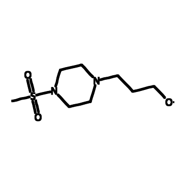 CS(=O)(=O)N1CCN(CCC[O])CC1